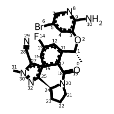 C[C@@H](Oc1cc(Br)cnc1N)c1cc(F)ccc1C(=O)N1CCC[C@H]1c1cc(C#N)n(C)n1